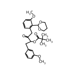 COc1cccc(CC(OC(=O)C(C)(C)C)C(=O)Cc2cccc(OC)c2C2OCCCO2)c1